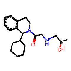 C[C@@H](O)CNCC(=O)N1CCc2ccccc2C1C1CCCCC1